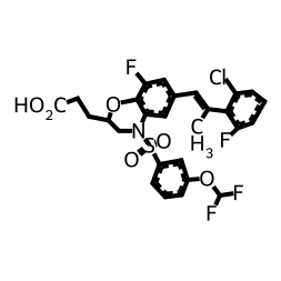 CC(=Cc1cc(F)c2c(c1)N(S(=O)(=O)c1cccc(OC(F)F)c1)CC(CCC(=O)O)O2)c1c(F)cccc1Cl